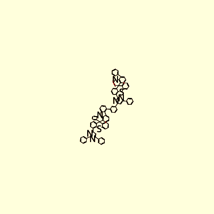 c1ccc(-c2cc(-c3cccc4c3Sc3ccccc3C43c4ccccc4-n4c5cccc(-c6cccc(-c7cc(-c8ccccc8)nc(-c8cccc9c8Sc8ccccc8C98c9ccccc9-n9c%10ccccc%10c%10cccc8c%109)n7)c6)c5c5cccc3c54)nc(-c3ccccc3)n2)cc1